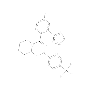 C[C@@H]1CCCN(C(=O)c2ccc(F)cc2-n2nccn2)C1CNc1ccc(C(F)(F)F)cn1